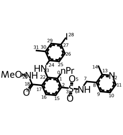 CCCc1c(S(=O)(=O)NCc2cccnc2C)ccc(C(=O)NOC)c1Nc1ccc(I)cc1C